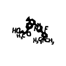 CC(CCO)C(=O)c1ccc2c(c1)C(c1ncc(-c3cc(C(C)(C)F)ccc3F)cn1)=CCC21CC1